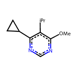 COc1ncnc(C2CC2)c1C(C)C